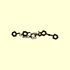 COC(=O)[C@H](Cc1ccc(OCc2ccccc2)cc1)NC(=O)c1cc2cc(C#Cc3ccccc3)ccc2s1